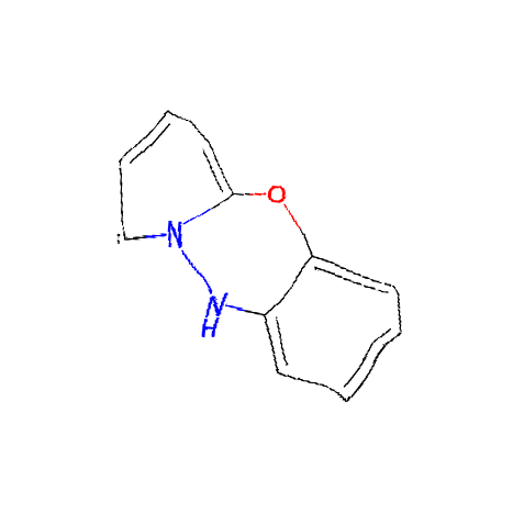 [C]1C=CC=C2Oc3ccccc3NN12